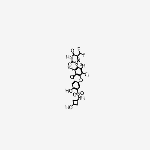 [2H]c1c(Cl)c(Oc2ccc(O)c(S(=O)(=O)NC3CC(O)C3)c2)c(Cl)c([2H])c1-n1nc(C(F)F)c(=O)[nH]c1=O